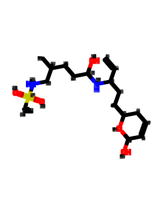 C=CC(CCC1CC=CC(O)O1)NC(O)CCC(C)CNS(=O)(=O)C(C)(C)C